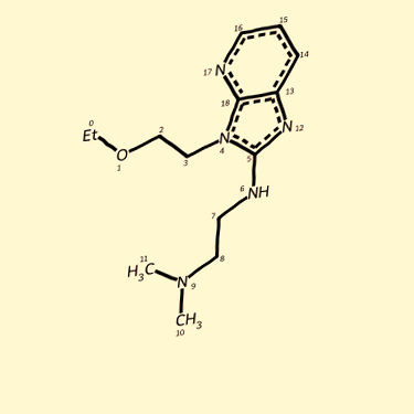 CCOCCn1c(NCCN(C)C)nc2cccnc21